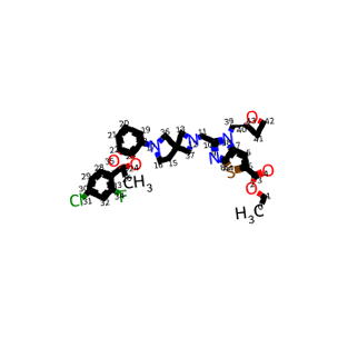 CCOC(=O)c1cc2c(nc(CN3CC4(CCN(c5cccc6c5OC(C)(c5ccc(Cl)cc5F)O6)C4)C3)n2C[C@@H]2CCO2)s1